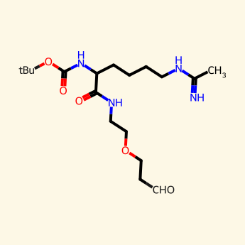 CC(=N)NCCCCC(NC(=O)OC(C)(C)C)C(=O)NCCOCCC=O